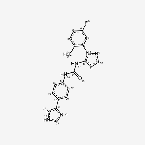 Cc1ccc(F)cc1-n1nccc1NC(=O)Nc1ccc(-c2nc[nH]n2)cc1